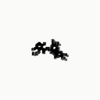 COc1c(Cl)ccc(Cl)c1C(=O)NC[C@H]1OC(C)(C)O[C@@H]2[C@H]3OC(C)(C)O[C@H]3O[C@@H]21